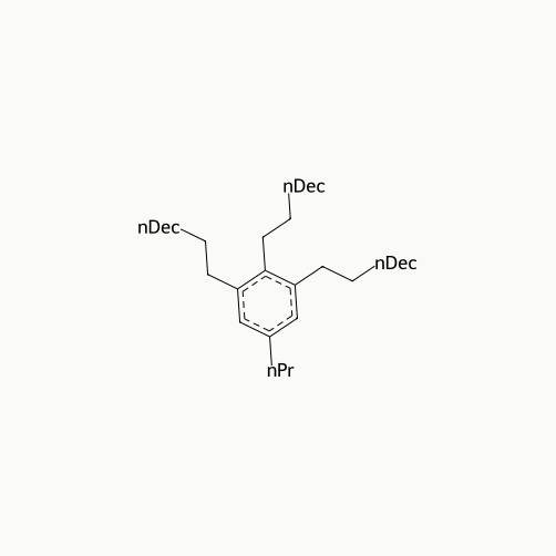 [CH2]CCc1cc(CCCCCCCCCCCC)c(CCCCCCCCCCCC)c(CCCCCCCCCCCC)c1